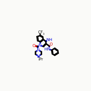 CC(C)N1CCN(C(=O)n2cc(C(=O)Nc3ccccc3)c(=N)c3cc(C(F)(F)F)ccc32)CC1